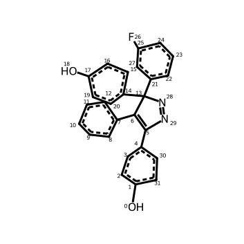 Oc1ccc(C2=C(c3ccccc3)C(c3ccc(O)cc3)(c3cccc(F)c3)N=N2)cc1